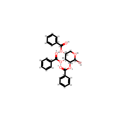 O=C(O[C@H]1[C@H](OC(=O)c2ccccc2)C(Br)OC[C@H]1OC(=O)c1ccccc1)c1ccccc1